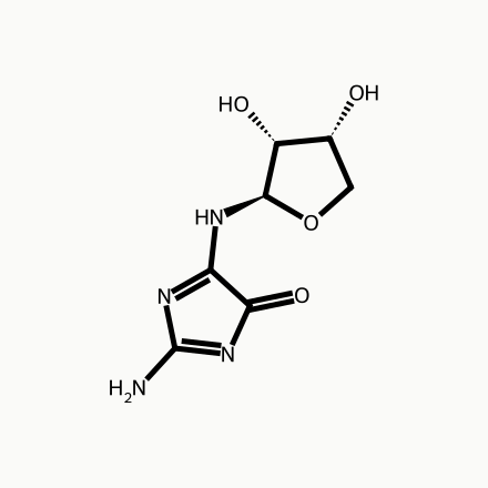 NC1=NC(=O)C(N[C@@H]2OC[C@@H](O)[C@H]2O)=N1